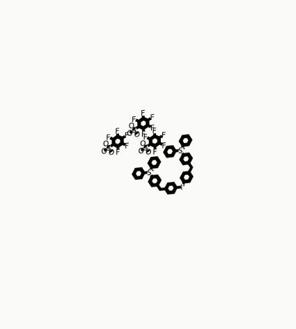 O=S(=O)([O-])c1c(F)c(F)c(F)c(F)c1F.O=S(=O)([O-])c1c(F)c(F)c(F)c(F)c1F.O=S(=O)([O-])c1c(F)c(F)c(F)c(F)c1F.c1ccc([S+](c2ccccc2)c2ccc(Cc3ccc([I+]c4ccc(Cc5ccc([S+](c6ccccc6)c6ccccc6)cc5)cc4)cc3)cc2)cc1